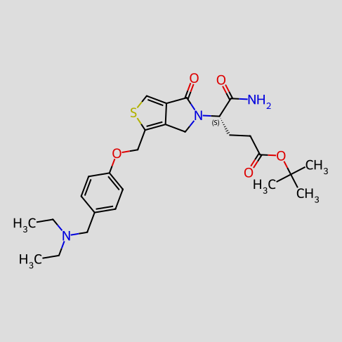 CCN(CC)Cc1ccc(OCc2scc3c2CN([C@@H](CCC(=O)OC(C)(C)C)C(N)=O)C3=O)cc1